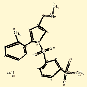 CNCc1cc(-c2ccccc2C)n(S(=O)(=O)c2cccc(S(C)(=O)=O)c2)c1.Cl